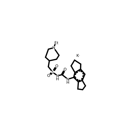 CCN1CCC(CS(=O)(=O)NC(=O)Nc2c3c(cc4c2CCC4)CCC3)CC1.[K]